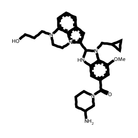 COc1cc(C(=O)N2CCCC(N)C2)cc2c1N(CC1CC1)C(c1cc3cccc4c3n1CCN4CCCO)N2